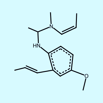 C/C=C\N(C)C(C)Nc1ccc(OC)cc1/C=C/C